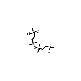 C[Si](Cl)(Cl)CC[Si](C)(C)O[Si](C)(C)CC[Si](C)(Cl)Cl